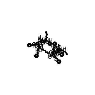 C#CCCCC(=O)N[C@H](Cc1ccccc1)C(=O)N[C@@H](CC(C)C)C(=O)N[C@H](CC(=O)OCc1ccccc1)C(=O)N[C@@H](CC(=O)OCc1ccccc1)C(=O)NCCCCCCNC(=O)[C@H](CC(=O)OCc1ccccc1)NC(=O)[C@@H](CC(=O)OCc1ccccc1)NC(=O)[C@H](Cc1ccccc1)NC(=O)[C@@H](CC(C)C)NC(=O)CCCC#C